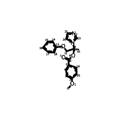 COc1ccc(C(=O)O[C@](C)(COc2ccccc2)n2ccnc2)cc1